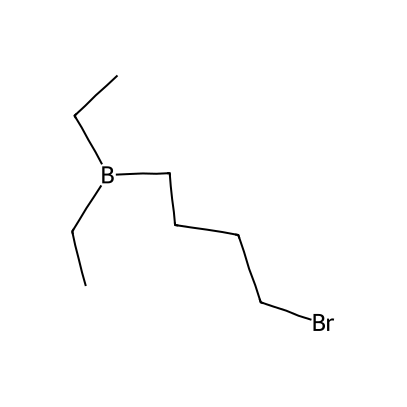 CCB(CC)CCCCBr